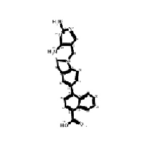 Nc1ncc(CN2CCc3cc(-c4ccc(C(=O)O)c5ccccc45)ccc32)c(N)n1